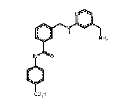 NCc1cc(NCc2cccc(C(=O)Nc3ccc(C(=O)O)cc3)c2)ncn1